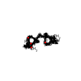 C=C[C@@H]1C[C@]1(NC(=O)[C@@H]1C[C@@H]2CN1C(=O)[C@H](C1CCCC1)NC(=O)O[C@@H]1CCC[C@H]1CC/C=C/Cc1c(nc3ccccc3c1OCCCO[PH](=O)OCCCOc1c3c(nc4ccccc14)O[C@@H]1C[C@@H](C(=O)N[C@]4(C(=O)NS(=O)(=O)C5CC5)C[C@H]4C=C)N(C1)C(=O)[C@H](C1CCCC1)NC(=O)O[C@@H]1CCC[C@H]1CC/C=C/C3)O2)C(=O)NS(=O)(=O)C1CC1